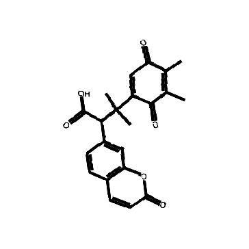 CC1=C(C)C(=O)C(C(C)(C)C(C(=O)O)c2ccc3ccc(=O)oc3c2)=CC1=O